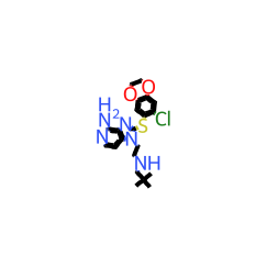 CC(C)(C)CNCCn1c(Sc2cc3c(cc2Cl)OCCO3)nc2c(N)nccc21